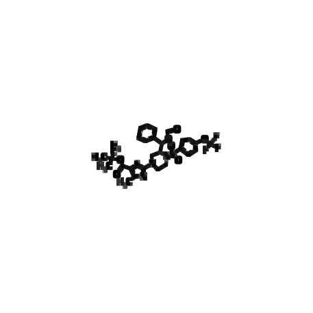 Cc1nc(N2CCN(S(=O)(=O)c3ccc(OC(F)(F)F)cc3)C(C(OC=O)c3ccccc3)C2)sc1C(=O)OC(C)(C)C